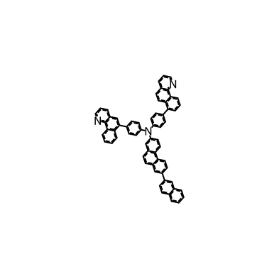 c1ccc2cc(-c3ccc4c(ccc5cc(N(c6ccc(-c7cccc8c7ccc7cccnc78)cc6)c6ccc(-c7cc8cccnc8c8ccccc78)cc6)ccc54)c3)ccc2c1